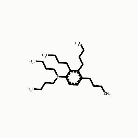 CCCCc1ccc(P(CCCC)CCCC)c(CCCC)c1CCCC